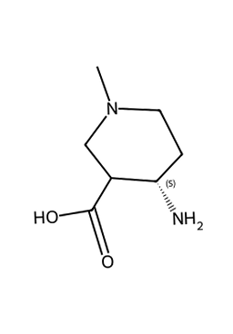 CN1CC[C@H](N)C(C(=O)O)C1